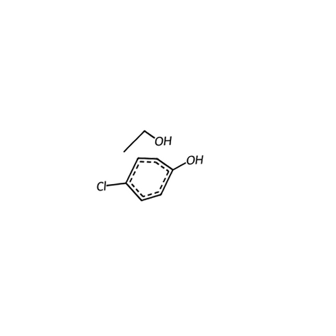 CCO.Oc1ccc(Cl)cc1